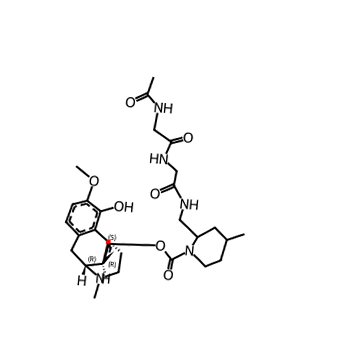 COc1ccc2c(c1O)[C@]13CCN(C)[C@H](C2)[C@@H]1CC=C(OC(=O)N1CCC(C)CC1CNC(=O)CNC(=O)CNC(C)=O)C3